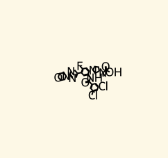 CN(C(=O)O)C1CCN(c2cc(F)c(-c3cnc(N4CCOCC4)nc3)cc2NC(=O)c2cc(Cl)cc(Cl)c2)C1